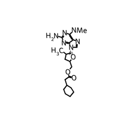 CNc1nc(N)nc2c1ncn2[C@@H]1OC(COC(=O)CC2CCCCC2)CC1C